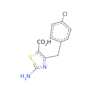 Nc1nc(Cc2ccc(Cl)cc2)c(C(=O)O)s1